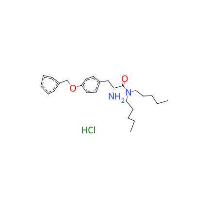 CCCCCN(CCCCC)C(=O)[C@H](N)Cc1ccc(OCc2ccccc2)cc1.Cl